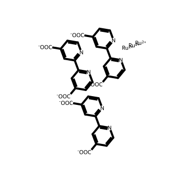 O=C([O-])c1ccnc(-c2cc(C(=O)[O-])ccn2)c1.O=C([O-])c1ccnc(-c2cc(C(=O)[O-])ccn2)c1.O=C([O-])c1ccnc(-c2cc(C(=O)[O-])ccn2)c1.[Ru+2].[Ru+2].[Ru+2]